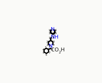 O=C(O)C(C1CCCCC1)N1CCC(CNc2ccncc2)CC1